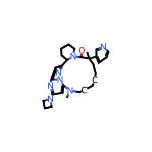 CN1CCCCCCC(C)(c2cccnc2)C(=O)N2CCCCC2c2cc3nc(N4CCC4)cc1n3n2